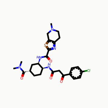 CN1CCc2nc(C(=O)N[C@@H]3C[C@@H](C(=O)N(C)C)CC[C@@H]3NC(=O)CC(=O)c3ccc(Cl)cc3)sc2C1